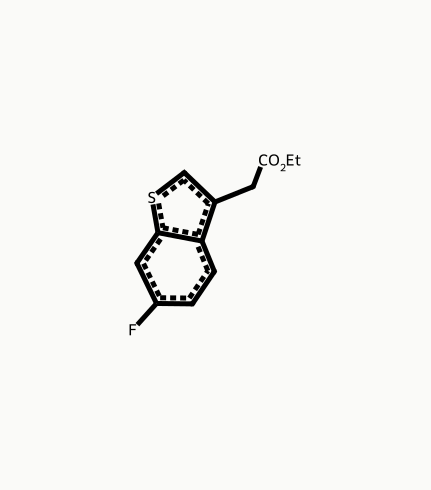 CCOC(=O)Cc1csc2cc(F)ccc12